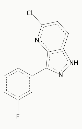 Fc1cccc(-c2n[nH]c3ccc(Cl)nc23)c1